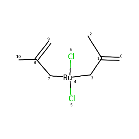 C=C(C)[CH2][Ru]([Cl])([Cl])[CH2]C(=C)C